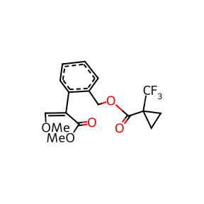 CO/C=C(\C(=O)OC)c1ccccc1COC(=O)C1(C(F)(F)F)CC1